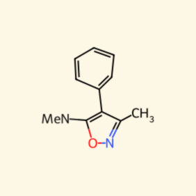 CNc1onc(C)c1-c1ccccc1